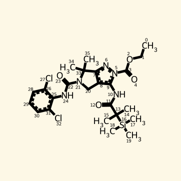 CCOC(=O)n1nc2c(c1NC(=O)C(C)(C)[Si](C)(C)C)CN(C(=O)Nc1c(Cl)cccc1Cl)C2(C)C